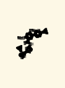 COc1cc(OC)c(-c2ccc(C3CC3)nc2)cc1C(=O)Nc1csc(-c2nncn2C2CC2)n1